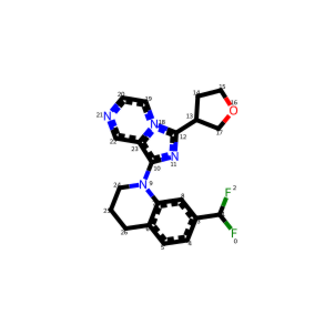 FC(F)c1ccc2c(c1)N(c1nc(C3CCOC3)n3ccncc13)CCC2